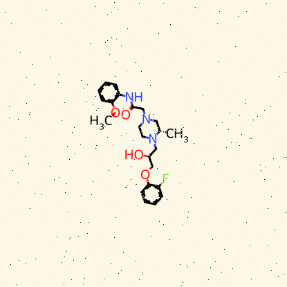 COc1ccccc1NC(=O)CN1CCN(C[C@H](O)COc2ccccc2F)[C@@H](C)C1